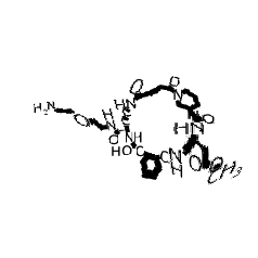 COCC[C@@H]1NC(=O)[C@@H]2CCCN(C2)C(=O)/C=C/C(=O)NCC[C@@H](C(=O)NCCOCCN)NC(O)Cc2ccccc2CNC1=O